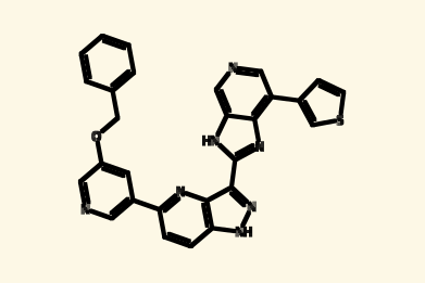 c1ccc(COc2cncc(-c3ccc4[nH]nc(-c5nc6c(-c7ccsc7)cncc6[nH]5)c4n3)c2)cc1